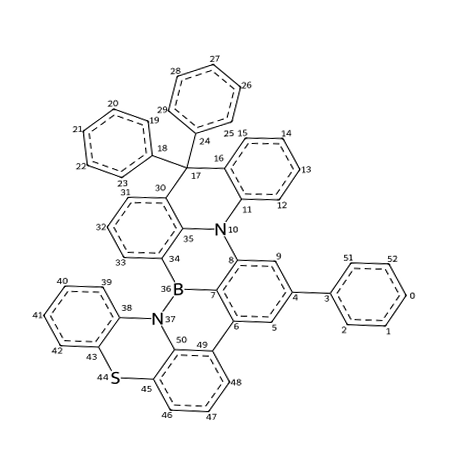 c1ccc(-c2cc3c4c(c2)N2c5ccccc5C(c5ccccc5)(c5ccccc5)c5cccc(c52)B4N2c4ccccc4Sc4cccc-3c42)cc1